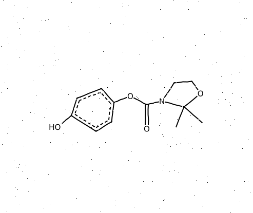 CC1(C)OCCN1C(=O)Oc1ccc(O)cc1